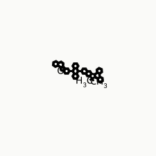 CC1(C)c2cc3cc(-c4c5ccccc5c(-c5ccc6oc7c8ccccc8ccc7c6c5)c5ccccc45)ccc3cc2-c2c1c1ccccc1c1ccccc21